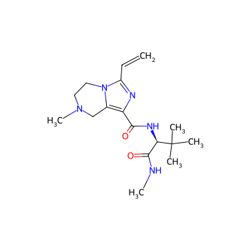 C=Cc1nc(C(=O)N[C@H](C(=O)NC)C(C)(C)C)c2n1CCN(C)C2